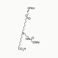 CCCCCCC=CCOC(=O)CCCCCCCN(CCCCCCCC(=O)O)CCCNC(=O)COC